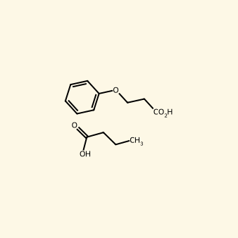 CCCC(=O)O.O=C(O)CCOc1ccccc1